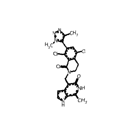 Cc1nnn(C)c1-c1cc(Cl)c2c(c1Cl)C(=O)N(Cc1c(=O)[nH]c(C)c3[nH]ccc13)CC2